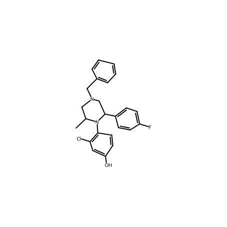 CC1CN(Cc2ccccc2)CC(c2ccc(F)cc2)N1c1ccc(O)cc1Cl